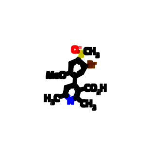 COc1cc([S+](C)[O-])c(Br)cc1-c1cc(C)nc(C)c1C(=O)O